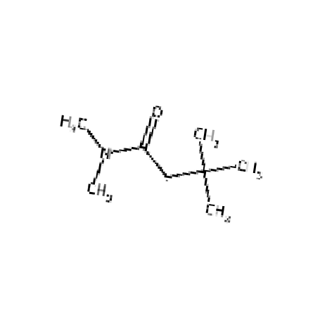 CN(C)C(=O)[CH]C(C)(C)C